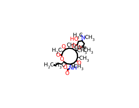 C=CCC[C@H]1OC(=O)[C@H](C)C(=O)[C@H](C)[C@@H](OC2OC(C)CC(N(C)C)C2O)[C@](C)(OC)C[C@@H](C)C(=O)[C@H](C)[C@H]2NC(=O)O[C@@]21C